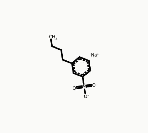 CCCCc1cccc(S(=O)(=O)[O-])c1.[Na+]